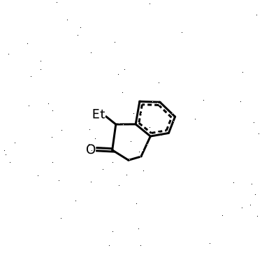 CCC1C(=O)CCc2ccccc21